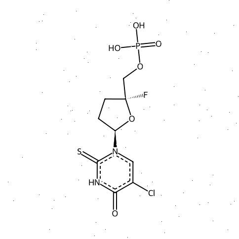 O=c1[nH]c(=S)n([C@H]2CC[C@@](F)(COP(=O)(O)O)O2)cc1Cl